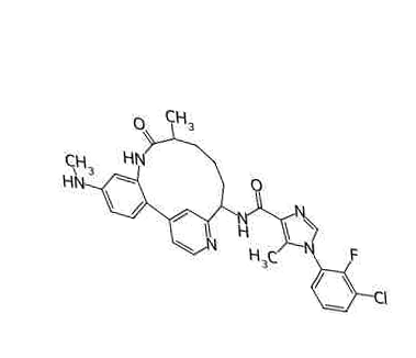 CNc1ccc2c(c1)NC(=O)C(C)CCCC(NC(=O)c1ncn(-c3cccc(Cl)c3F)c1C)c1cc-2ccn1